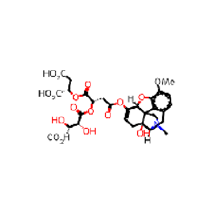 COc1ccc2c3c1O[C@H]1C(OC(=O)C[C@H](OC(=O)[C@H](O)[C@@H](O)C(=O)O)C(=O)O[C@@H](CC(=O)O)C(=O)O)=CC[C@@]4(O)[C@@H](C2)N(C)CC[C@]314